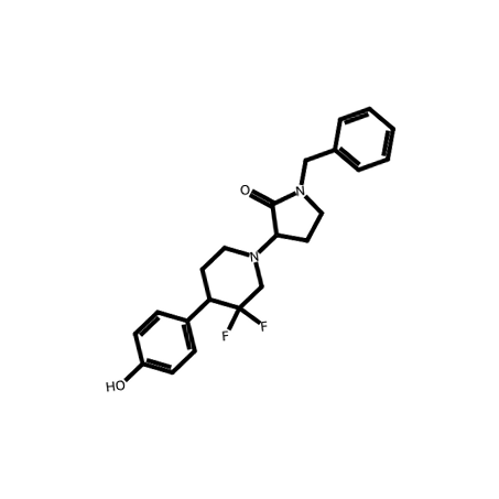 O=C1C(N2CCC(c3ccc(O)cc3)C(F)(F)C2)CCN1Cc1ccccc1